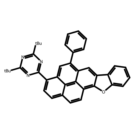 CC(C)(C)c1nc(-c2ccc3ccc4c5oc6ccccc6c5cc5c(-c6ccccc6)cc2c3c54)nc(C(C)(C)C)n1